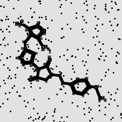 COc1ccc(CCN2CC(=O)N(c3cnn(Cc4c(C)noc4C)c3)C2=O)cc1